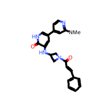 CNc1cc(-c2c[nH]c(=O)c(NC3CN(C(=O)C=Cc4ccccc4)C3)c2)ccn1